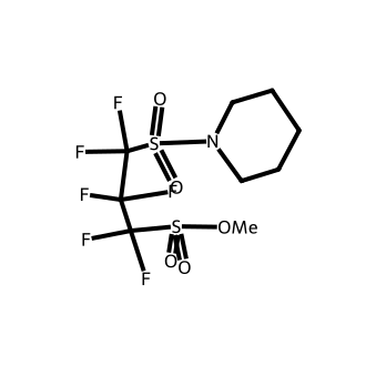 COS(=O)(=O)C(F)(F)C(F)(F)C(F)(F)S(=O)(=O)N1CCCCC1